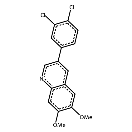 COc1cc2cc(-c3ccc(Cl)c(Cl)c3)cnc2cc1OC